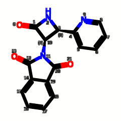 O=C1N[C@@H](c2ccccn2)[C@H]1N1C(=O)c2ccccc2C1=O